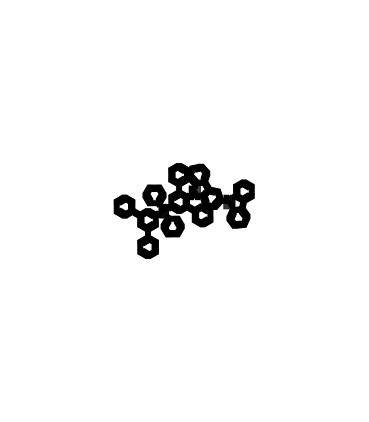 c1ccc(-c2cc(-c3ccccc3)cc(S(c3ccccc3)(c3ccccc3)c3cc(-c4ccccc4)c(-n4c5ccccc5c5cc(-n6c7ccccc7c7ccccc76)ccc54)c(-c4ccccc4)c3)c2)cc1